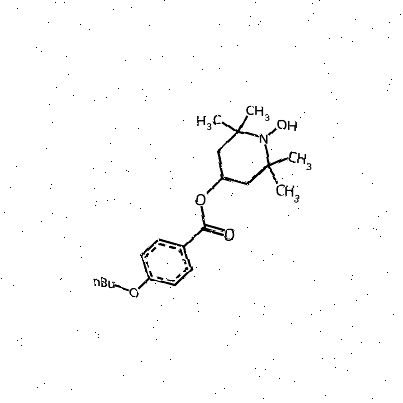 CCCCOc1ccc(C(=O)OC2CC(C)(C)N(O)C(C)(C)C2)cc1